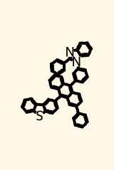 c1ccc(-c2ccc3c(-c4cccc(-n5c(-c6ccccc6)nc6ccccc65)c4)c4ccccc4c(-c4ccc5sc6ccccc6c5c4)c3c2)cc1